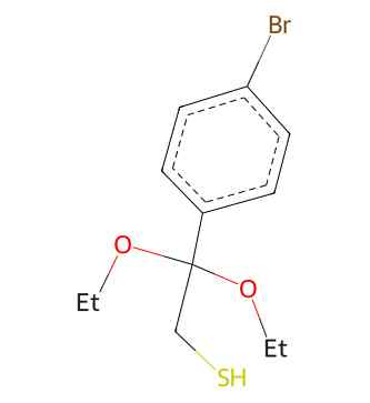 CCOC(CS)(OCC)c1ccc(Br)cc1